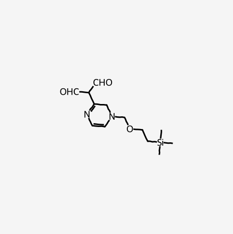 C[Si](C)(C)CCOCN1C=CN=C(C(C=O)C=O)C1